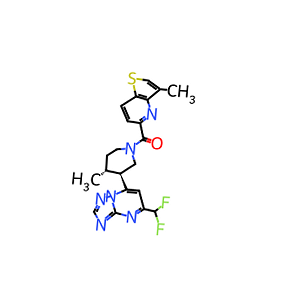 Cc1csc2ccc(C(=O)N3CC[C@@H](C)[C@H](c4cc(C(F)F)nc5ncnn45)C3)nc12